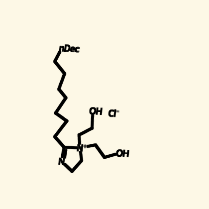 CCCCCCCCCCCCCCCCCC1=NCC[N+]1(CCO)CCO.[Cl-]